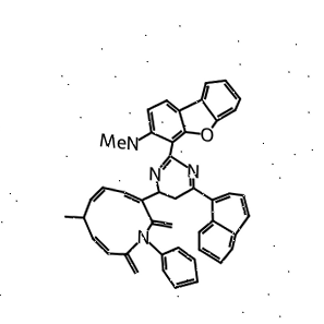 C=C1/C=C\C(C)/C=C\C=C(\C2CC(c3cccc4ccccc34)=NC(c3c(NC)ccc4c3oc3ccccc34)=N2)C(=C)N1c1ccccc1